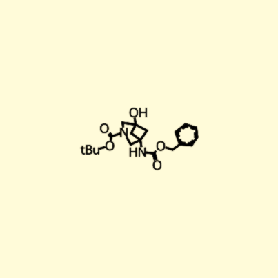 CC(C)(C)OC(=O)N1CC2(O)CC(NC(=O)OCc3ccccc3)(C1)C2